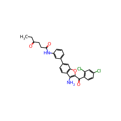 CCC(=O)CCC(=O)Nc1cccc(-c2ccc3c(N)c(C(=O)c4ccc(Cl)cc4Cl)oc3c2)c1